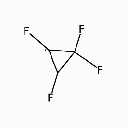 F[C]1C(F)C1(F)F